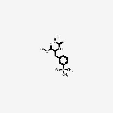 CC(C)OC(=O)C(Cc1cccc([Si](C)(C)C(C)(C)C)c1)NC(=O)OC(C)(C)C